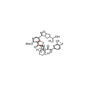 COc1ncc(C2=NOC3CC(C(C)O)CC23)cc1C(=O)N[C@H]1[C@@H](C(=O)Nc2ccc(F)c(C(F)(F)F)c2)[C@H]2CC[C@@H]1/C2=C\C1CCCC1